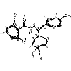 O=C(NCC(c1ccc(C(F)(F)F)nc1)N1CCC(F)(F)CC1)c1c(F)cccc1Cl